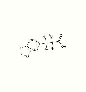 [2H]C([2H])(C(=O)O)C([2H])([2H])c1ccc2c(c1)OCO2